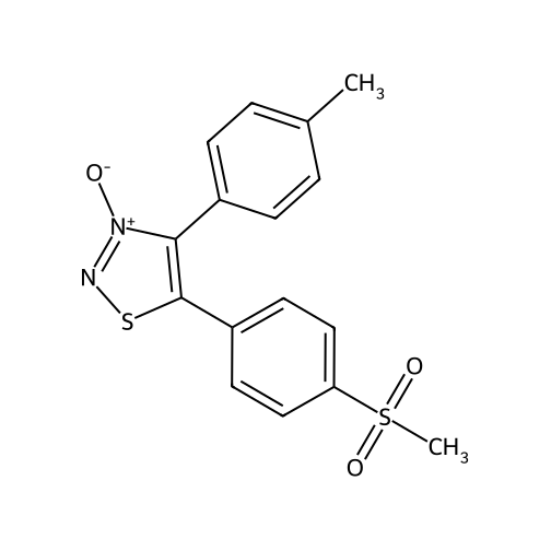 Cc1ccc(-c2c(-c3ccc(S(C)(=O)=O)cc3)sn[n+]2[O-])cc1